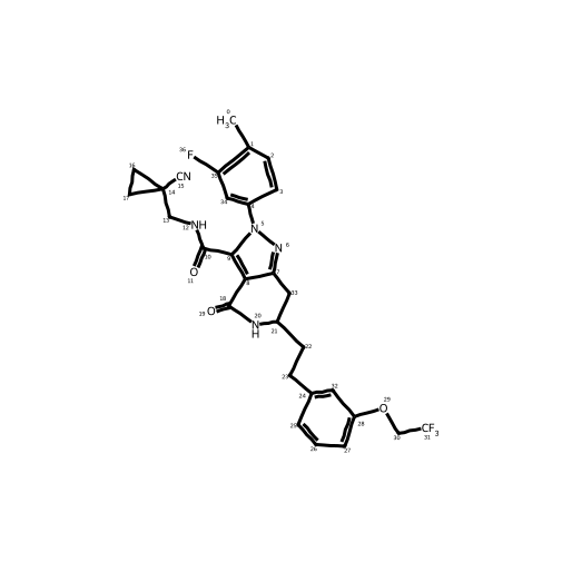 Cc1ccc(-n2nc3c(c2C(=O)NCC2(C#N)CC2)C(=O)NC(CCc2cccc(OCC(F)(F)F)c2)C3)cc1F